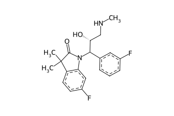 CNC[C@@H](O)C(c1cccc(F)c1)N1C(=O)C(C)(C)c2ccc(F)cc21